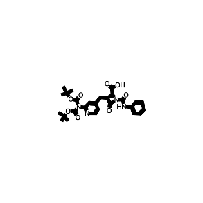 CC(C)(C)OC(=O)N(C(=O)OC(C)(C)C)c1cc(CC2C(=O)N(C(=O)Nc3ccccc3)C2C(=O)O)ccn1